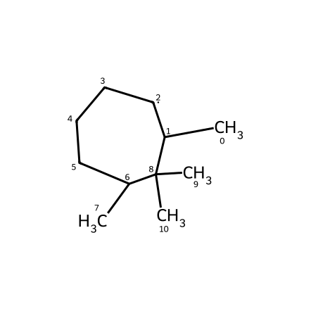 CC1[CH]CCCC(C)C1(C)C